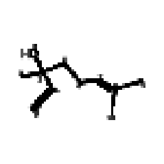 C=CC(C)(O)CC/C=C(/C)I